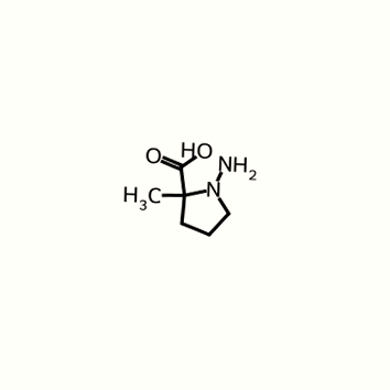 CC1(C(=O)O)CCCN1N